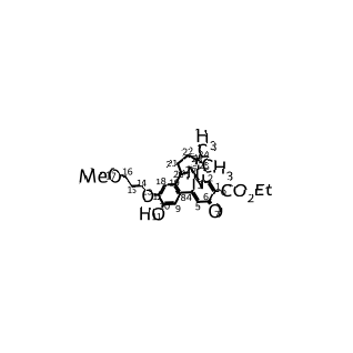 CCOC(=O)c1cn2c(cc1=O)-c1cc(O)c(OCCCOC)cc1C1CCC(C)(C)N12